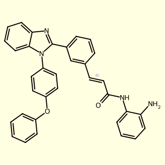 Nc1ccccc1NC(=O)/C=C/c1cccc(-c2nc3ccccc3n2-c2ccc(Oc3ccccc3)cc2)c1